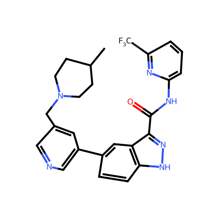 CC1CCN(Cc2cncc(-c3ccc4[nH]nc(C(=O)Nc5cccc(C(F)(F)F)n5)c4c3)c2)CC1